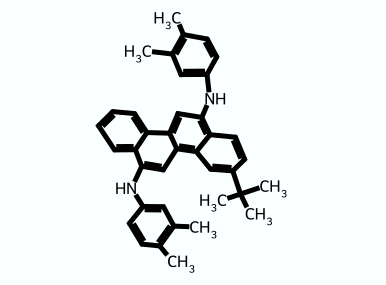 Cc1ccc(Nc2cc3c4cc(C(C)(C)C)ccc4c(Nc4ccc(C)c(C)c4)cc3c3ccccc23)cc1C